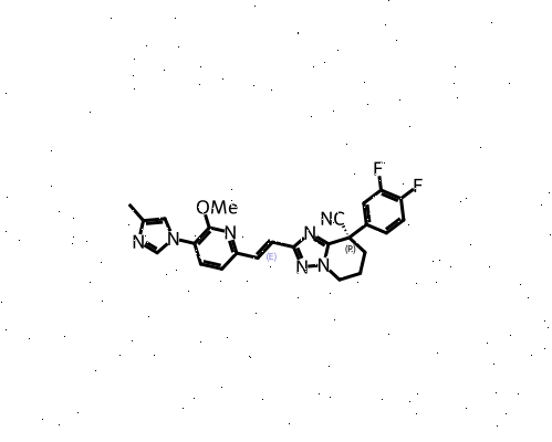 COc1nc(/C=C/c2nc3n(n2)CCC[C@]3(C#N)c2ccc(F)c(F)c2)ccc1-n1cnc(C)c1